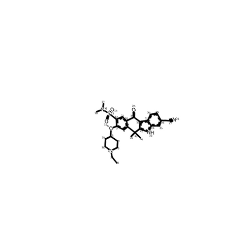 CCN1CCC(Oc2cc3c(cc2S(=O)(=O)N(C)C)C(=O)c2c([nH]c4cc(C#N)ccc24)C3(C)C)CC1